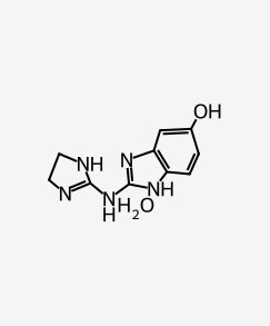 O.Oc1ccc2[nH]c(NC3=NCCN3)nc2c1